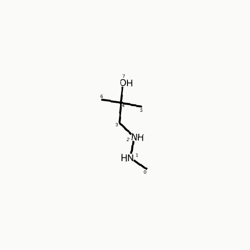 CNNCC(C)(C)O